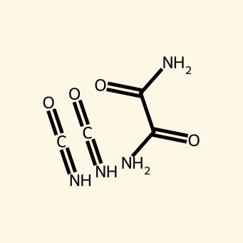 N=C=O.N=C=O.NC(=O)C(N)=O